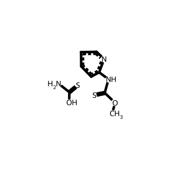 COC(=S)Nc1ccccn1.NC(O)=S